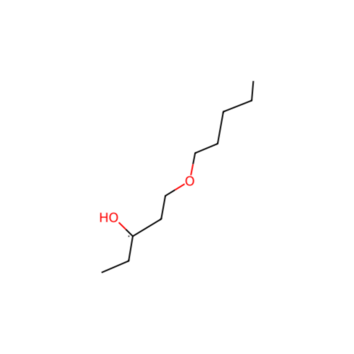 CCCCCOCC[C](O)CC